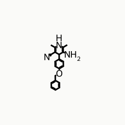 CC1=C(N)C(c2ccc(OCc3ccccc3)cc2)C(C#N)=C(C)N1